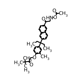 CCC(CC)(c1ccc(OCC(=O)C(C)(C)C)c(C)c1)c1ccc2cc(C(=O)CNOC(C)=O)ccc2c1